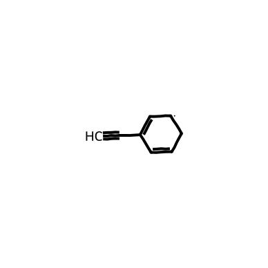 C#CC1=C[CH]CC=C1